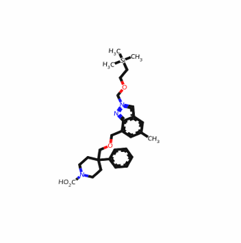 Cc1cc(COCC2(c3ccccc3)CCN(C(=O)O)CC2)c2nn(COCC[Si](C)(C)C)cc2c1